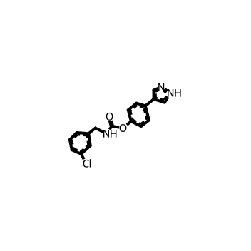 O=C(NCc1cccc(Cl)c1)Oc1ccc(-c2cn[nH]c2)cc1